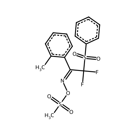 Cc1ccccc1C(=NOS(C)(=O)=O)C(F)(F)S(=O)(=O)c1ccccc1